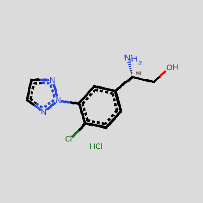 Cl.N[C@H](CO)c1ccc(Cl)c(-n2nccn2)c1